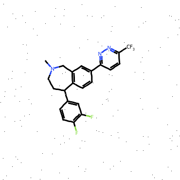 CN1CCC(c2ccc(F)c(F)c2)c2ccc(-c3ccc(C(F)(F)F)nn3)cc2C1